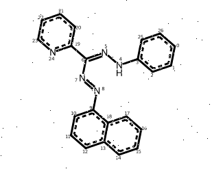 c1ccc(NN=C(N=Nc2cccc3ccccc23)c2ccccn2)cc1